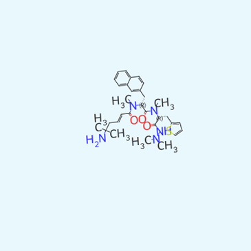 CN(C)NC(=O)[C@@H](Cc1cccs1)N(C)C(=O)[C@@H](Cc1ccc2ccccc2c1)N(C)C(=O)C=CCC(C)(C)N